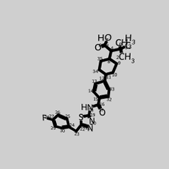 CC(C)(C)C(C(=O)O)C1CCC(c2ccc(C(=O)Nc3nnc(Cc4ccc(F)cc4)s3)cc2)CC1